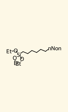 CCCCCCCCCCCCCCC[Si](OCC)(OCC)OCC